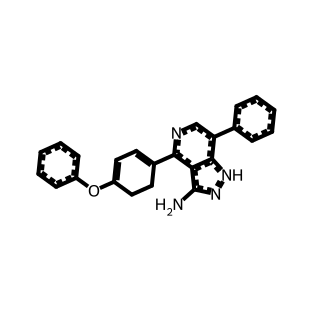 Nc1n[nH]c2c(-c3ccccc3)cnc(C3=CC=C(Oc4ccccc4)CC3)c12